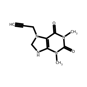 C#CCN1CNc2c1c(=O)n(C)c(=O)n2C